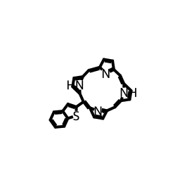 C1=Cc2cc3ccc([nH]3)c(-c3cc4ccccc4s3)c3nc(cc4ccc(cc1n2)[nH]4)C=C3